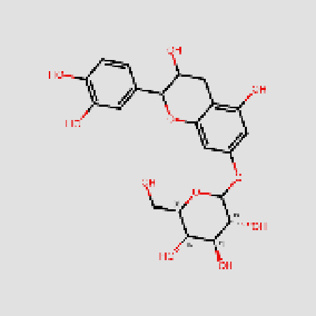 OC[C@H]1OC(Oc2cc(O)c3c(c2)OC(c2ccc(O)c(O)c2)C(O)C3)[C@H](O)[C@@H](O)[C@@H]1O